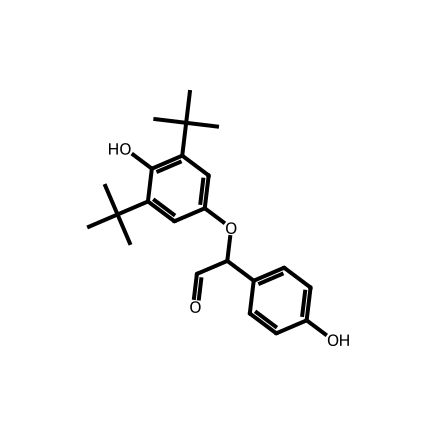 CC(C)(C)c1cc(OC(C=O)c2ccc(O)cc2)cc(C(C)(C)C)c1O